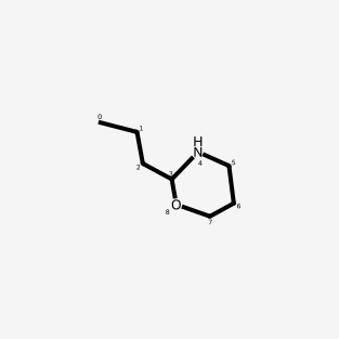 CCCC1NCCCO1